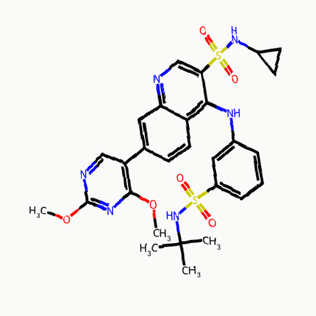 COc1ncc(-c2ccc3c(Nc4cccc(S(=O)(=O)NC(C)(C)C)c4)c(S(=O)(=O)NC4CC4)cnc3c2)c(OC)n1